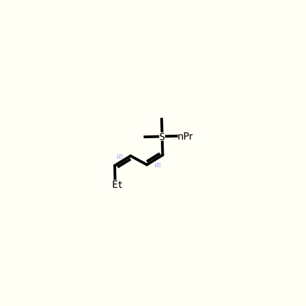 CC/C=C\C=C/S(C)(C)CCC